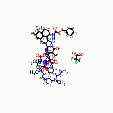 CC[C@@]1(OC(=O)[C@@H](NC(=O)[C@@H]2CCCN2C(=O)[C@H](CC(N)=O)NC(=O)CN(C)CCN(C)CCN(C)CCN)C(C)C)C(=O)OCc2c1cc1n(c2=O)Cc2c-1nc1cc(F)c(C)c3c1c2[C@@H](NC(=O)OCc1ccccc1)CC3.O=C(O)C(F)(F)F